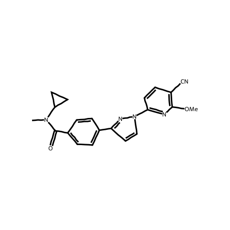 COc1nc(-n2ccc(-c3ccc(C(=O)N(C)C4CC4)cc3)n2)ccc1C#N